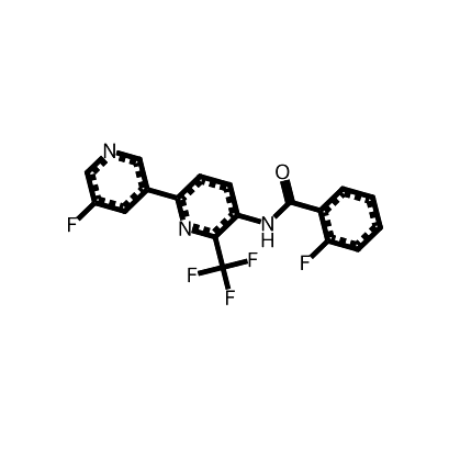 O=C(Nc1ccc(-c2cncc(F)c2)nc1C(F)(F)F)c1ccccc1F